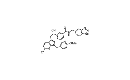 COc1ccc(Cn2cc(CC(C#N)c3cccc(C(=O)NCc4ccc5[nH]nnc5c4)c3)c3ccc(Cl)nc32)cn1